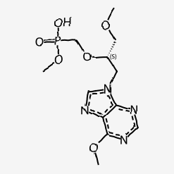 COC[C@H](Cn1cnc2c(OC)ncnc21)OCP(=O)(O)OC